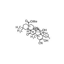 COC(=O)[C@]12CCC(C)(C)C[C@H]1[C@H]1C(=O)C=C3[C@@]4(C)CC(C#N)=C(O)C(C)(C)[C@@H]4[C@H](O)C[C@@]3(C)[C@]1(C)CC2